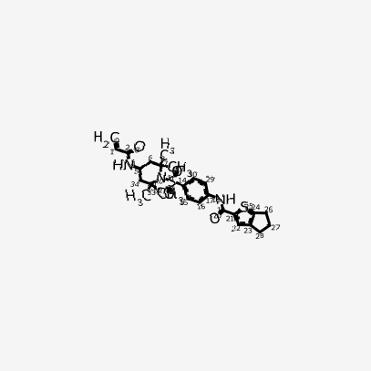 C=CC(=O)NC1CC(C)(C)N(S(=O)(=O)c2ccc(NC(=O)c3cc4c(s3)CCC4)cc2)C(C)(C)C1